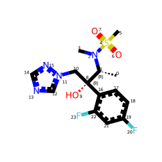 C[C@@H](N(C)S(C)(=O)=O)[C@](O)(Cn1cncn1)c1ccc(F)cc1F